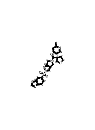 Cc1ccc([C@@]2(C(=O)N3Cc4cn(S(=O)(=O)c5ccc6ncsc6c5)nc4C3)CCOC2)cn1